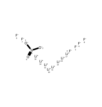 O=[Si]([O-])[O-].[F-].[F-].[F-].[F-].[F-].[F-].[Li+].[Li+].[Li+].[Li+].[Li+].[Li+].[Li+].[Li+]